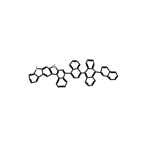 c1ccc2cc(-c3c4ccccc4c(-c4ccc(-c5cc6sc7cc8sc9ccccc9c8cc7c6c6ccccc56)c5ccccc45)c4ccccc34)ccc2c1